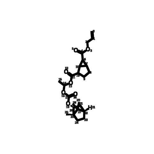 C=CCOC(=O)C1C2CCC(C(=O)OC(C)OC(=O)O[C@@H]3C[C@@H]4CC[C@@]3(C)C4(C)C)C21